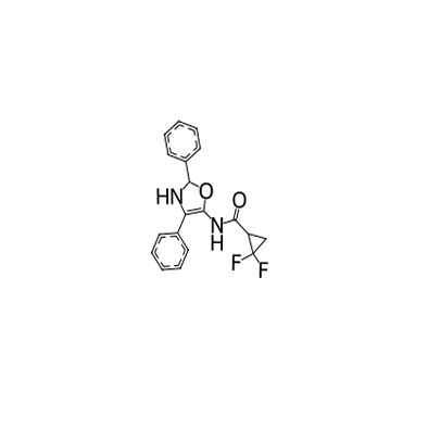 O=C(NC1=C(c2ccccc2)NC(c2ccccc2)O1)C1CC1(F)F